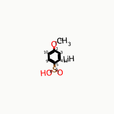 COc1ccc(S(=O)O)cc1.[LiH]